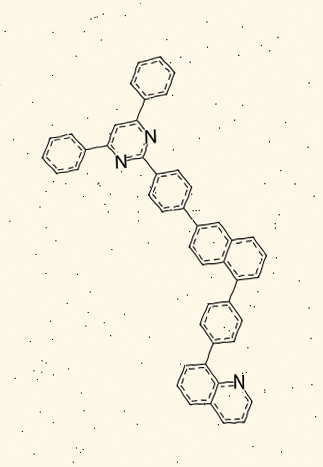 c1ccc(-c2cc(-c3ccccc3)nc(-c3ccc(-c4ccc5c(-c6ccc(-c7cccc8cccnc78)cc6)cccc5c4)cc3)n2)cc1